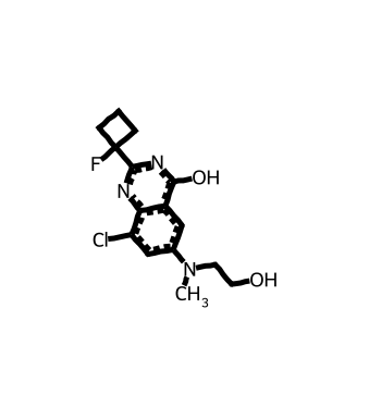 CN(CCO)c1cc(Cl)c2nc(C3(F)CCC3)nc(O)c2c1